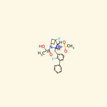 C[C@@H](O)C(=O)N1C2CC(F)(C2)[C@H](NS(C)(=O)=O)[C@@H]1Cc1cccc(-c2ccccc2)c1F